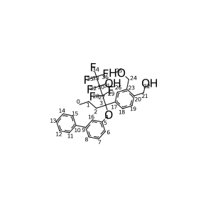 CCCC(Oc1cccc(-c2ccccc2)c1)(c1ccc(CO)c(CO)c1)C(F)(F)C(O)(F)C(F)(F)F